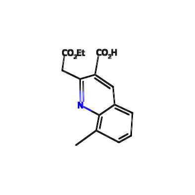 CCOC(=O)Cc1nc2c(C)cccc2cc1C(=O)O